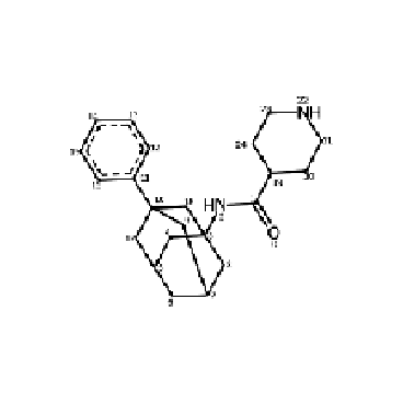 O=C(NC12CC3CC(C1)CC(c1ccccc1)(C3)C2)C1CCNCC1